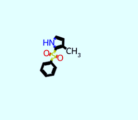 Cc1cc[nH]c1S(=O)(=O)c1ccccc1